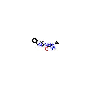 C[C@H](c1ccccc1)N1C[C@@H](NC(=O)c2cn(C3CC3)nn2)C1(C)C